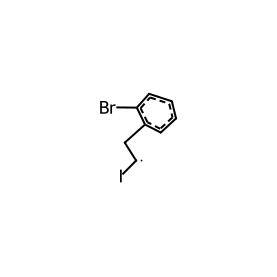 Brc1ccccc1C[CH]I